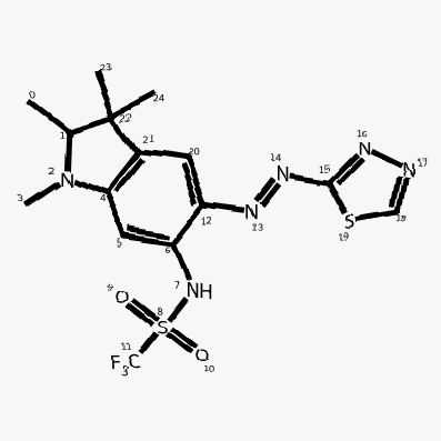 CC1N(C)c2cc(NS(=O)(=O)C(F)(F)F)c(N=Nc3nncs3)cc2C1(C)C